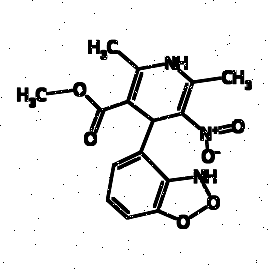 COC(=O)C1=C(C)NC(C)=C([N+](=O)[O-])C1c1cccc2c1NOO2